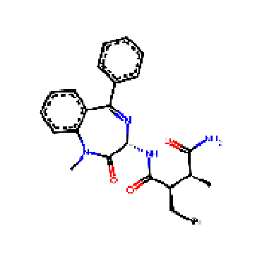 CC(C)C[C@@H](C(=O)N[C@H]1N=C(c2ccccc2)c2ccccc2N(C)C1=O)[C@H](C)C(N)=O